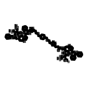 CC[C@H](NC)C(=O)N[C@@H]1C(=O)N2[C@@H](CC[C@@H]1CNC(=O)CCc1cn(CCOCC3CCC(COCCn4cc([C@@H](NC(=O)[C@@H]5CC[C@@H]6CC[C@H](CCNCc7ccccc7)[C@H](NC(=O)[C@H](CC)NC)C(=O)N65)c5ccccc5)nn4)CC3)nn1)CC[C@H]2C(=O)NC(c1ccccc1)c1ccccc1